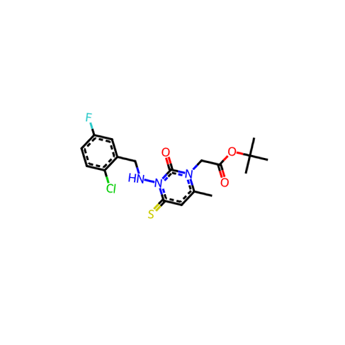 Cc1cc(=S)n(NCc2cc(F)ccc2Cl)c(=O)n1CC(=O)OC(C)(C)C